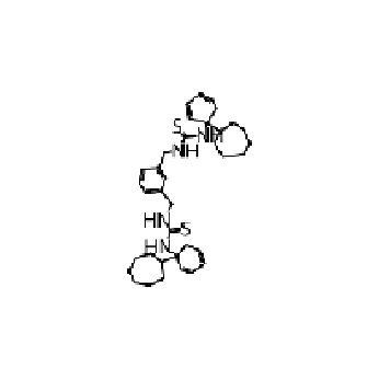 S=C(NCc1cccc(CNC(=S)NC2(C3CCCCCC3)C=CC=CC2)c1)NC1(C2CCCCCC2)C=CC=CC1